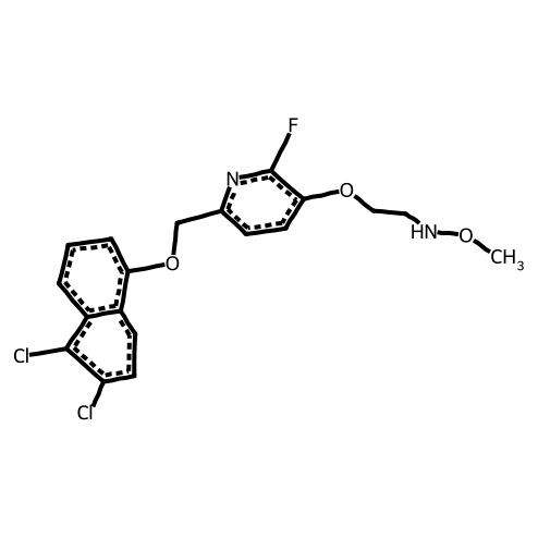 CONCCOc1ccc(COc2cccc3c(Cl)c(Cl)ccc23)nc1F